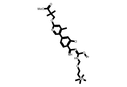 COC(=O)C(C)(C)COc1cc(C)c(-c2ccc(C(=N)/N=C(\NCOCC[SH](C)(C)(C)C)OC(C)C)c(Cl)c2)cn1